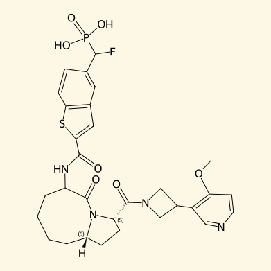 COc1ccncc1C1CN(C(=O)[C@@H]2CC[C@@H]3CCCCC(NC(=O)c4cc5cc(C(F)P(=O)(O)O)ccc5s4)C(=O)N32)C1